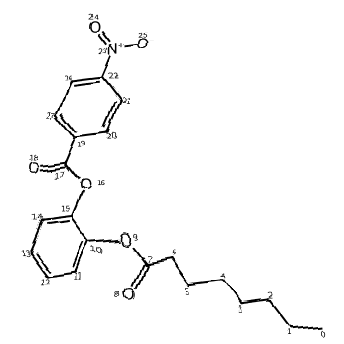 CCCCCCCC(=O)Oc1ccccc1OC(=O)c1ccc([N+](=O)[O-])cc1